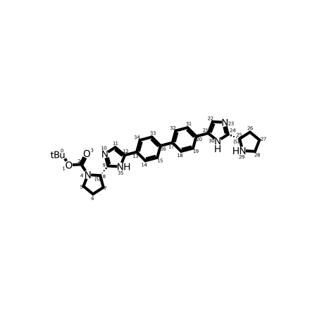 CC(C)(C)OC(=O)N1CCC[C@H]1c1ncc(-c2ccc(-c3ccc(-c4cnc([C@@H]5CCCN5)[nH]4)cc3)cc2)[nH]1